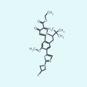 CCOC(=O)c1cn2c(cc1=O)-c1cc(OC)c(-c3cnc(N4CC(F)C4)s3)cc1CC2C(C)(C)C